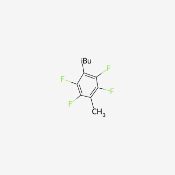 CCC(C)c1c(F)c(F)c(C)c(F)c1F